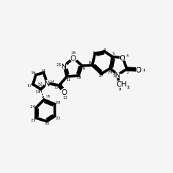 Cn1c(=O)oc2ccc(-c3cc(C(=O)N4CCC[C@H]4c4ccccc4)no3)cc21